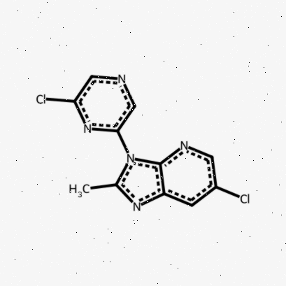 Cc1nc2cc(Cl)cnc2n1-c1cncc(Cl)n1